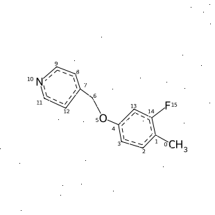 Cc1ccc(OCc2ccncc2)cc1F